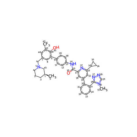 C[C@H]1CCCN(Cc2cc(-c3ccc(NC(=O)c4cc(-c5ccccc5-c5nncn5C)cc(C5CC5)n4)cc3)c(O)c(C(F)(F)F)c2)C1